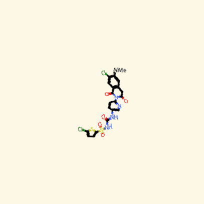 CNc1cc2c(cc1Cl)C(=O)N(c1ccc(NC(=O)NS(=O)(=O)c3ccc(Cl)s3)cn1)C(=O)C2